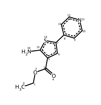 CCOC(=O)c1cc(-c2ccncc2)sc1N